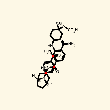 CC(C)(C)C1(NC(=O)O)CCC(Nc2cc(C(=O)NC3C[C@H]4CC[C@H](C3)N4c3ccc(C(N)=O)cn3)ccc2C(N)=O)CC1